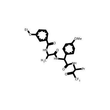 CCOc1cccc(C(=O)NC(C)C(=O)NC(C(=O)NC(C(=O)C(F)(F)F)C(C)C)c2ccc(OC)cc2)c1